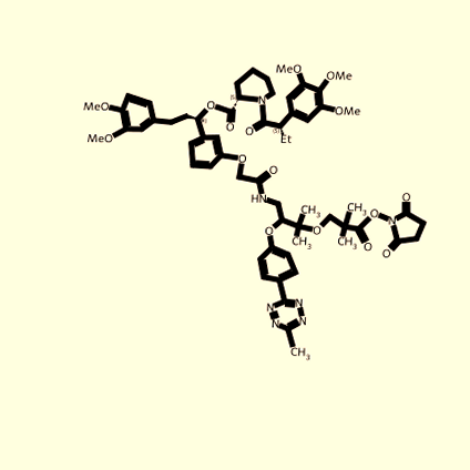 CC[C@H](C(=O)N1CCCC[C@H]1C(=O)O[C@H](CCc1ccc(OC)c(OC)c1)c1cccc(OCC(=O)NCC(Oc2ccc(-c3nnc(C)nn3)cc2)C(C)(C)OCC(C)(C)C(=O)ON2C(=O)CCC2=O)c1)c1cc(OC)c(OC)c(OC)c1